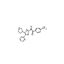 O=C(Nc1nc(-c2ccccn2)c(C2CCOC2)s1)c1ccc(C(F)(F)F)cc1